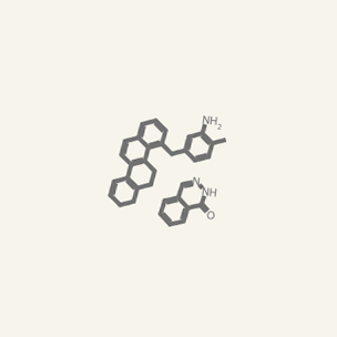 Cc1ccc(Cc2cccc3ccc4c(c23)CCC2=C4C=CCC2)cc1N.O=c1[nH]ncc2ccccc12